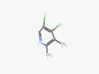 Cc1ncc(Cl)c(Cl)c1C